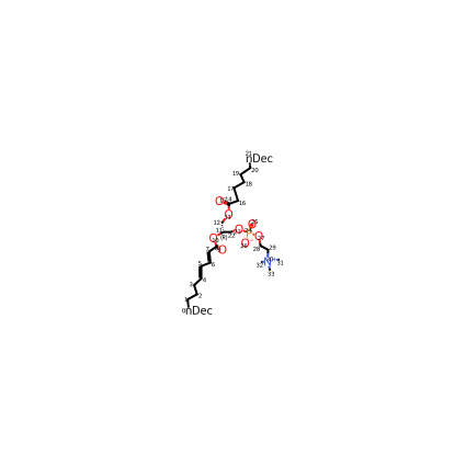 CCCCCCCCCCCCCC=CC=CC(=O)O[C@H](COC(=O)CCCCCCCCCCCCCCC)COP(=O)([O-])OCC[N+](C)(C)C